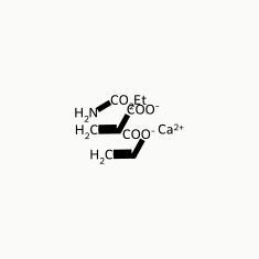 C=CC(=O)[O-].C=CC(=O)[O-].CCOC(N)=O.[Ca+2]